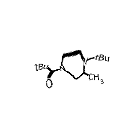 CC1CN(C(=O)C(C)(C)C)CCN1C(C)(C)C